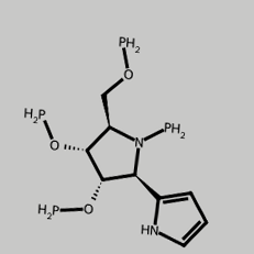 POC[C@@H]1[C@@H](OP)[C@@H](OP)[C@H](c2ccc[nH]2)N1P